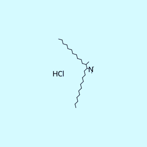 CCCCCCCCCCCCC(C(C)CCCCCCCCCCC)N(C)C.Cl